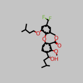 COc1c([C@@H](O)CC(C)C)ccc2c1C(=O)OCc1cc(C(F)F)cc(OCCC(C)C)c1O2